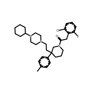 Cc1ccc(C2(CCN3CCN(C4CCCCC4)CC3)CCCN(C(=O)Cc3c(F)cccc3Cl)C2)cc1